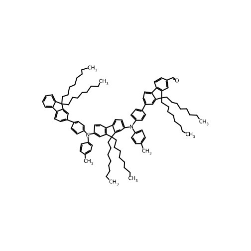 CCCCCCCCC1(CCCCCCCC)c2ccccc2-c2ccc(-c3ccc(N(c4ccc(C)cc4)c4ccc5c(c4)C(CCCCCCCC)(CCCCCCCC)c4cc(N(c6ccc(C)cc6)c6ccc(-c7ccc8c(c7)C(CCCCCCCC)(CCCCCCCC)c7cc(C=O)ccc7-8)cc6)ccc4-5)cc3)cc21